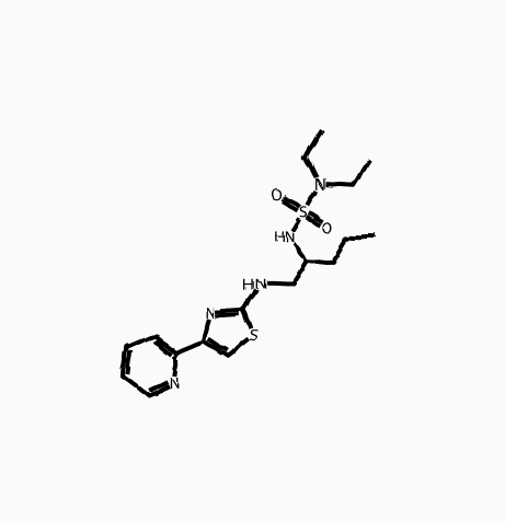 CCCC(CNc1nc(-c2ccccn2)cs1)NS(=O)(=O)N(CC)CC